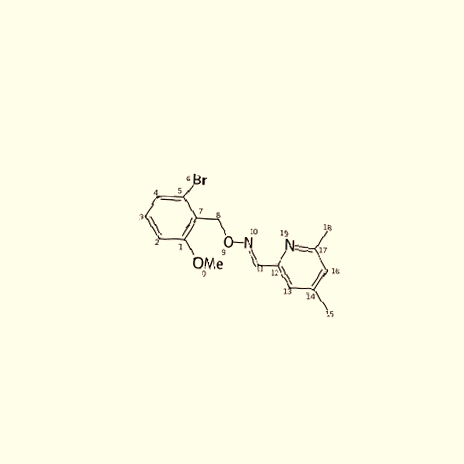 COc1cccc(Br)c1CON=Cc1cc(C)cc(C)n1